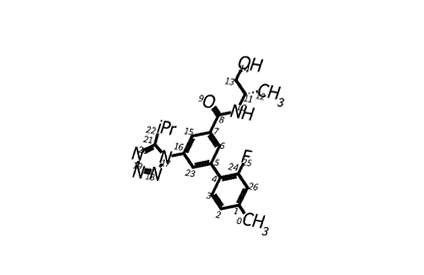 Cc1ccc(-c2cc(C(=O)N[C@@H](C)CO)cc(-n3nnnc3C(C)C)c2)c(F)c1